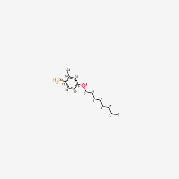 CCCCCCCCOc1ccc(P)c(C)c1